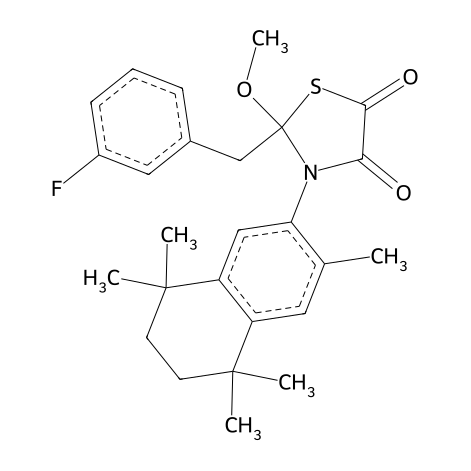 COC1(Cc2cccc(F)c2)SC(=O)C(=O)N1c1cc2c(cc1C)C(C)(C)CCC2(C)C